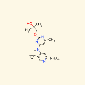 CC(=O)Nc1cc2c(cn1)C1(CC1)CN2c1cc(C)nc(OCC(C)(C)O)n1